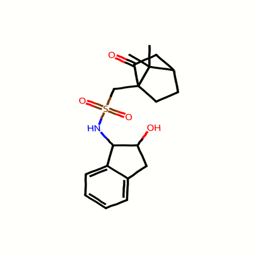 CC1(C)C2CCC1(CS(=O)(=O)NC1c3ccccc3CC1O)C(=O)C2